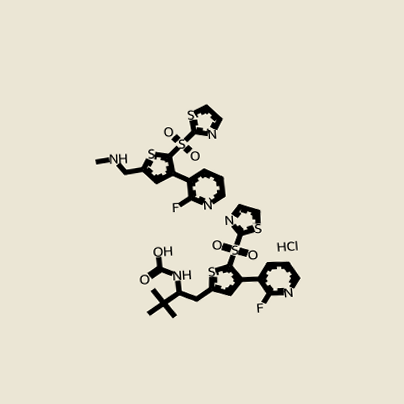 CC(C)(C)C(Cc1cc(-c2cccnc2F)c(S(=O)(=O)c2nccs2)s1)NC(=O)O.CNCc1cc(-c2cccnc2F)c(S(=O)(=O)c2nccs2)s1.Cl